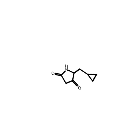 O=C1CC(=O)C(CC2CC2)N1